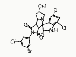 O=C1C2C3C[C@H](O)CN3C3(c4cc(Cl)cc(Cl)c4NC3O)C2C(=O)N1c1cc(Cl)cc(Br)c1